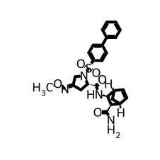 CON=C1C[C@@H](C(=O)N[C@@H]2[C@H](C(N)=O)[C@H]3C=C[C@@H]2C3)N(S(=O)(=O)c2ccc(-c3ccccc3)cc2)C1